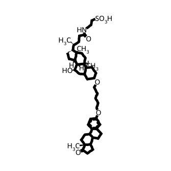 C[C@H](CCC(=O)NCCS(=O)(=O)O)[C@H]1CC[C@H]2[C@@H]3[C@@H](O)CC4C[C@@H](OCCCCCOc5ccc6c(c5)CCC5C6CC[C@@]6(C)C(=O)CCC56)CC[C@]4(C)[C@H]3CC[C@]12C